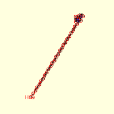 O=C(O)CCOCCOCCOCCOCCOCCOCCOCCOCCOCCOCCOCCOCCOCCOCCOCCOCCOCCOCCOCCOCCOCCOCCOCCOCCN(C(=O)CCN1C(=O)C=CC1=O)N1C(=O)CC(O)C1=O